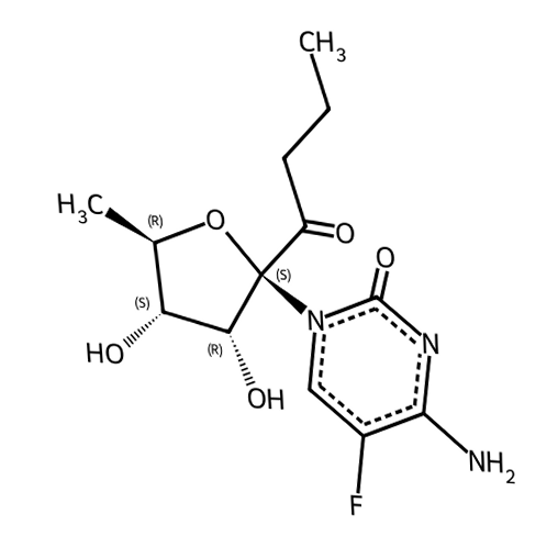 CCCC(=O)[C@@]1(n2cc(F)c(N)nc2=O)O[C@H](C)[C@@H](O)[C@H]1O